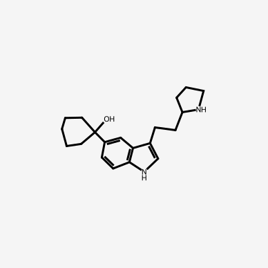 OC1(c2ccc3[nH]cc(CCC4CCCN4)c3c2)CCCCC1